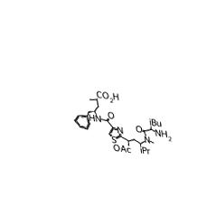 CC[C@H](C)C(N)C(=O)N(C)[C@H](C[C@@H](OC(C)=O)c1nc(C(=O)N[C@@H](Cc2ccccc2)C[C@H](C)C(=O)O)cs1)C(C)C